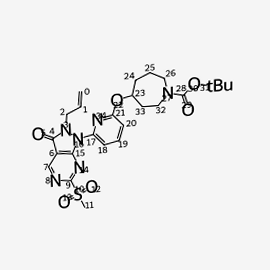 C=CCn1c(=O)c2cnc(S(C)(=O)=O)nc2n1-c1cccc(OC2CCCN(C(=O)OC(C)(C)C)CC2)n1